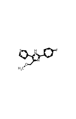 COCc1nc(-c2ccc(F)cc2)[nH]c1-c1ccsc1